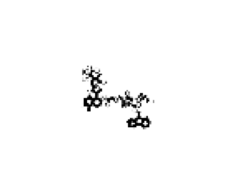 CC[C@@]1(O)C(=O)OCc2c1cc1n(c2=O)Cc2c-1nc1cc(F)c(C)c3c1c2[C@@H](NC(=O)COCNC(=O)[C@H](CO[Si](C)(C)C(C)(C)C)NC(=O)OCC1c2ccccc2-c2ccccc21)CC3